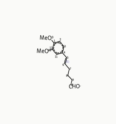 COc1ccc(/C=C/CCC[C]=O)cc1OC